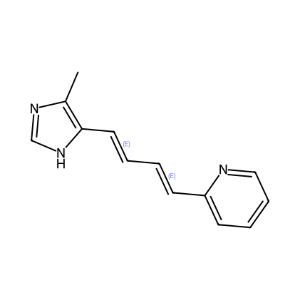 Cc1nc[nH]c1/C=C/C=C/c1ccccn1